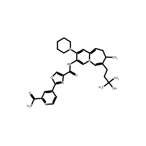 CC1CC=C2C=C(N3CCCCC3)C(NC(=O)c3coc(-c4ccnc(C(N)=O)c4)n3)=CN2C=C1CCC(C)(C)O